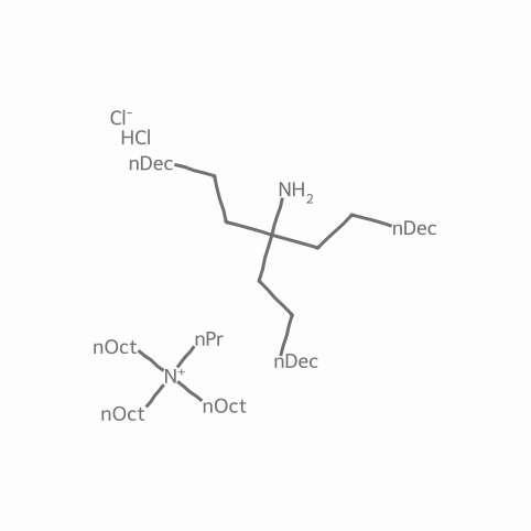 CCCCCCCCCCCCC(N)(CCCCCCCCCCCC)CCCCCCCCCCCC.CCCCCCCC[N+](CCC)(CCCCCCCC)CCCCCCCC.Cl.[Cl-]